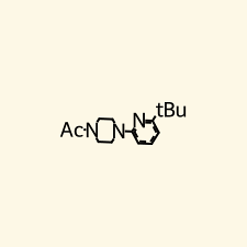 CC(=O)N1CCN(c2cccc(C(C)(C)C)n2)CC1